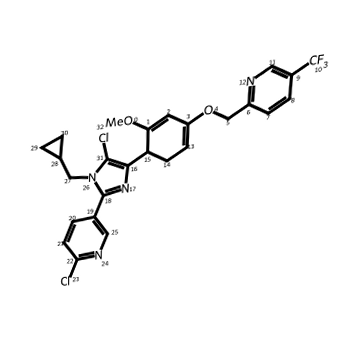 COC1=CC(OCc2ccc(C(F)(F)F)cn2)=CCC1c1nc(-c2ccc(Cl)nc2)n(CC2CC2)c1Cl